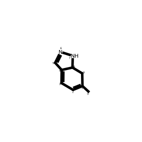 CC1=CC=C2C=NNC2C1